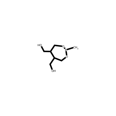 CB1OCC(CO)C(CO)CO1